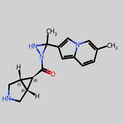 Cc1ccc2cc(C3(C)NN3C(=O)[C@H]3[C@@H]4CNC[C@@H]43)cn2c1